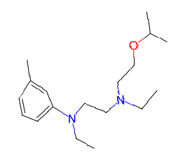 CCN(CCOC(C)C)CCN(CC)c1cccc(C)c1